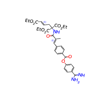 CCOC(=O)/C=C/CC(NC(=O)/C(C)=C/c1ccc(C(=O)Oc2ccc(C(=N)N)cc2)cc1)(C(=O)OCC)C(=O)OCC